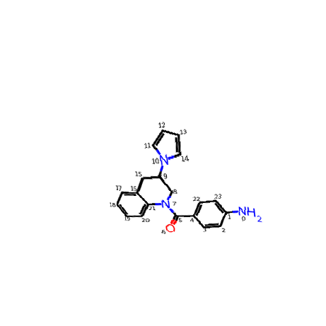 Nc1ccc(C(=O)N2CC(n3cccc3)Cc3ccccc32)cc1